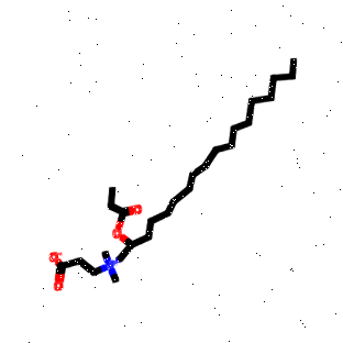 CCCCCCCCCCCCCCCCC(C[N+](C)(C)CCC(=O)[O-])OC(=O)CC